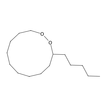 CCCCCC1CCCCCCCCCOO1